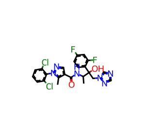 Cc1c(C(=O)NC(C)C(O)(Cn2cncn2)c2ccc(F)cc2F)cnn1-c1c(Cl)cccc1Cl